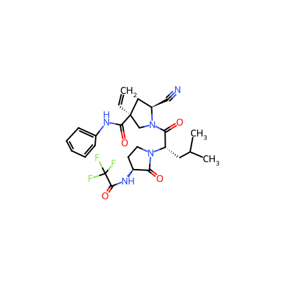 C=C[C@]1(C(=O)Nc2ccccc2)C[C@@H](C#N)N(C(=O)[C@H](CC(C)C)N2CC[C@H](NC(=O)C(F)(F)F)C2=O)C1